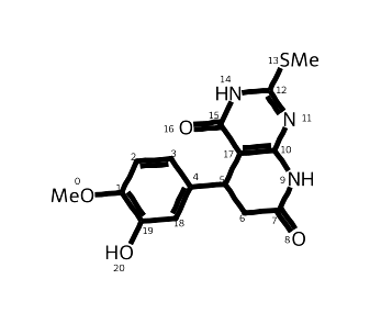 COc1ccc(C2CC(=O)Nc3nc(SC)[nH]c(=O)c32)cc1O